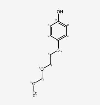 CCOCOCCSc1ccc(O)cc1